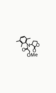 COCC(=O)N(c1c(C)ccc(C)c1C)C1CCOC1=O